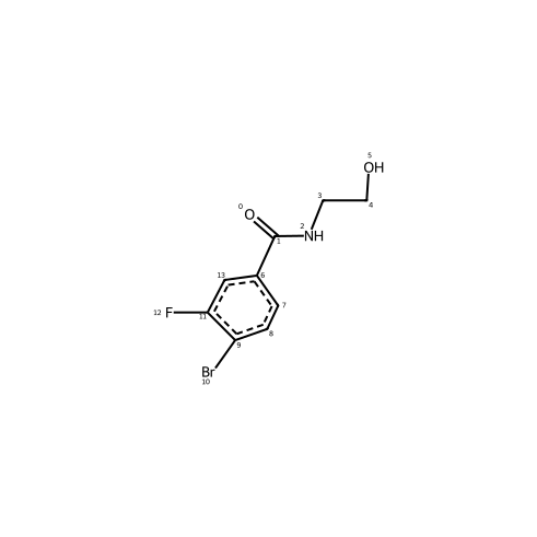 O=C(NCCO)c1ccc(Br)c(F)c1